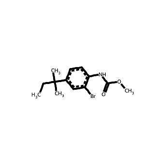 CCC(C)(C)c1ccc(NC(=O)OC)c(Br)c1